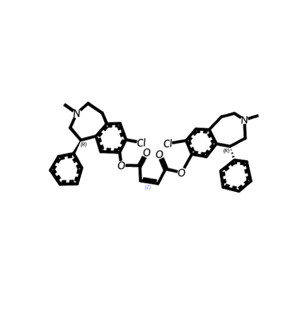 CN1CCc2cc(Cl)c(OC(=O)/C=C\C(=O)Oc3cc4c(cc3Cl)CCN(C)C[C@@H]4c3ccccc3)cc2[C@@H](c2ccccc2)C1